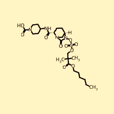 CCCCCCOC(=O)C(C)(C)COS(=O)(=O)ON1C(=O)N2C[C@H]1CC[C@H]2C(=O)NC1CCN(C(=O)O)CC1